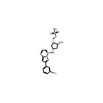 NS(=O)(=O)OC[C@H]1C[C@@H](N[n+]2ccnc3cc(-c4cccc(C(F)(F)F)c4)nn32)C[C@@H]1O